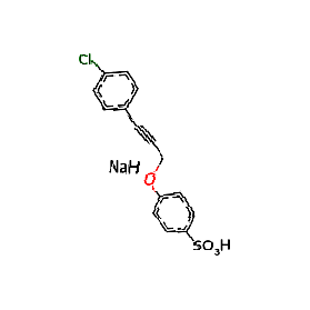 O=S(=O)(O)c1ccc(OCC#Cc2ccc(Cl)cc2)cc1.[NaH]